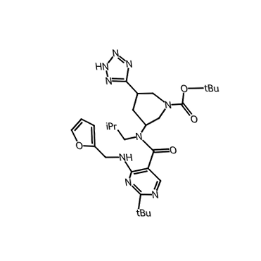 CC(C)CN(C(=O)c1cnc(C(C)(C)C)nc1NCc1ccco1)C1CC(c2nn[nH]n2)CN(C(=O)OC(C)(C)C)C1